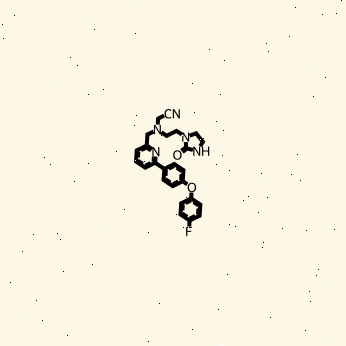 N#CCN(CCN1CCNC1=O)Cc1cccc(-c2ccc(Oc3ccc(F)cc3)cc2)n1